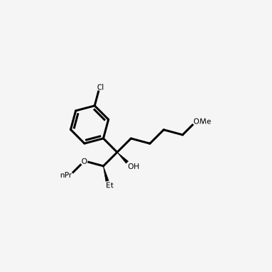 CCCO[C@H](CC)[C@@](O)(CCCCOC)c1cccc(Cl)c1